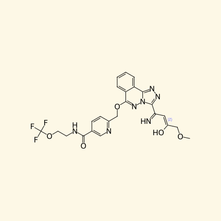 COC/C(O)=C/C(=N)c1nnc2c3ccccc3c(OCc3ccc(C(=O)NCCOC(F)(F)F)cn3)nn12